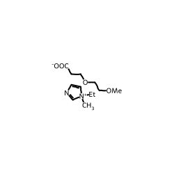 CC[N+]1(C)C=CN=C1.COCCOCCC(=O)[O-]